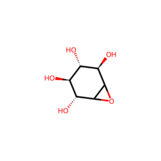 O[C@H]1[C@H](O)[C@@H](O)C2OC2[C@@H]1O